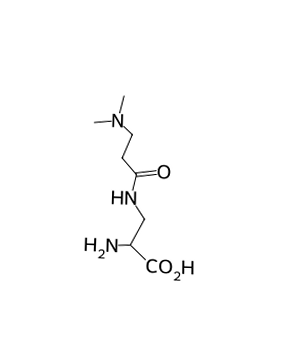 CN(C)CCC(=O)NCC(N)C(=O)O